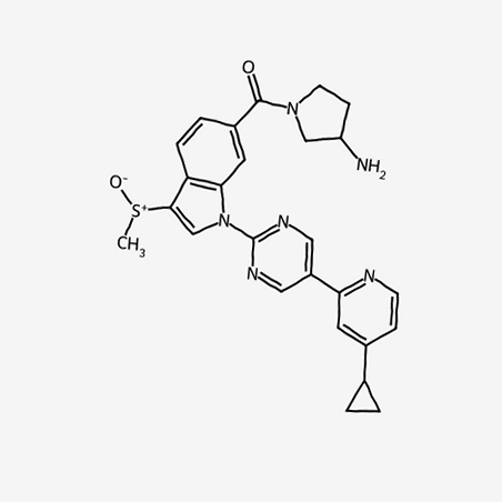 C[S+]([O-])c1cn(-c2ncc(-c3cc(C4CC4)ccn3)cn2)c2cc(C(=O)N3CCC(N)C3)ccc12